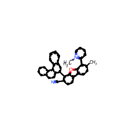 Cc1ccc2c(oc3c(-c4cc5ccccc5c5c4ccc4ccccc45)c(C#N)ccc32)c1-c1cccc[n+]1C